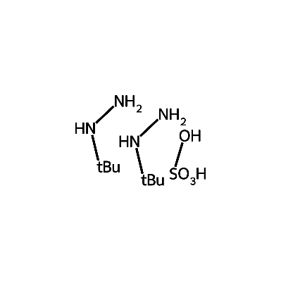 CC(C)(C)NN.CC(C)(C)NN.O=S(=O)(O)O